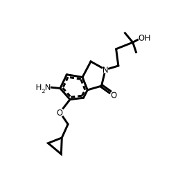 CC(C)(O)CCN1Cc2cc(N)c(OCC3CC3)cc2C1=O